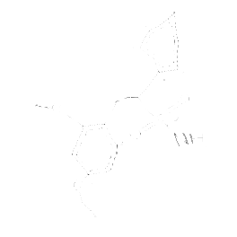 COc1ccc(CC(c2ccccc2)S(N)(=O)=O)c(OC)c1